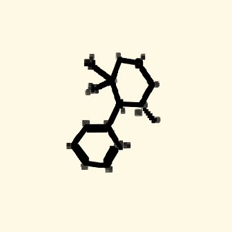 [2H]C1([2H])COC[C@H](C)N1c1ccccn1